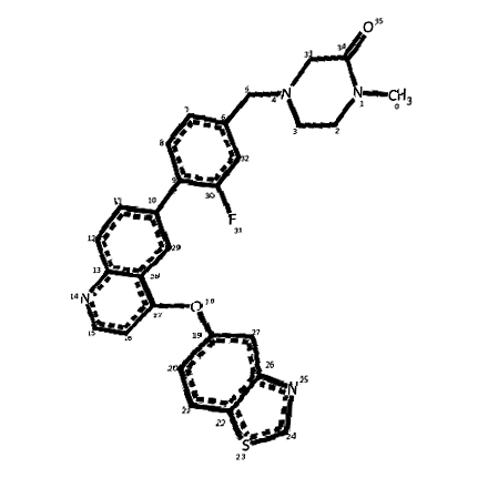 CN1CCN(Cc2ccc(-c3ccc4nccc(Oc5ccc6scnc6c5)c4c3)c(F)c2)CC1=O